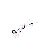 CC(C)CCNC(=O)Oc1ccc(N2CCN(C(=O)c3ccccc3S(N)(=O)=O)CC2)nn1